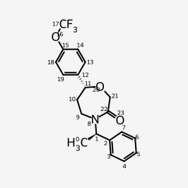 C[C@H](c1ccccc1)N1CC[C@H](c2ccc(OC(F)(F)F)cc2)OCC1=O